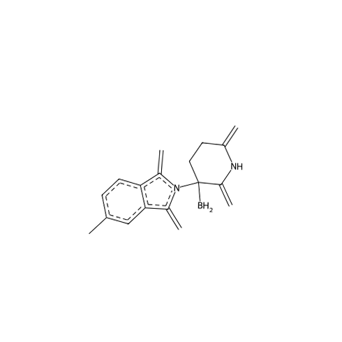 BC1(n2c(=C)c3ccc(C)cc3c2=C)CCC(=C)NC1=C